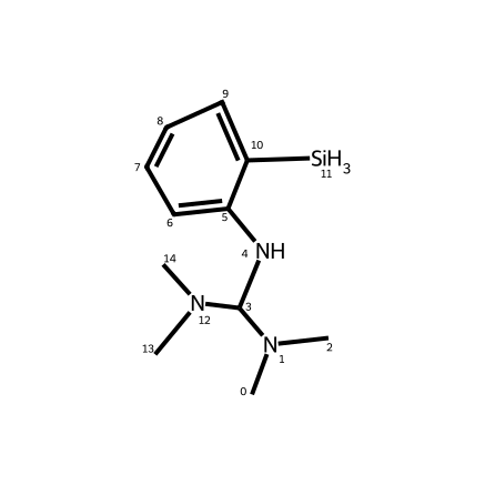 CN(C)C(Nc1ccccc1[SiH3])N(C)C